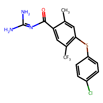 Cc1cc(Sc2ccc(Cl)cc2)c(C(F)(F)F)cc1C(=O)N=C(N)N